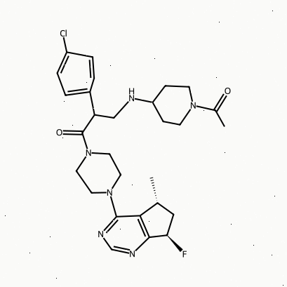 CC(=O)N1CCC(NCC(C(=O)N2CCN(c3ncnc4c3[C@H](C)C[C@H]4F)CC2)c2ccc(Cl)cc2)CC1